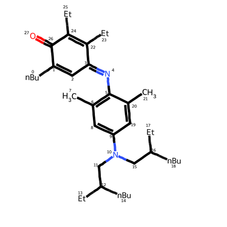 CCCCC1=CC(=Nc2c(C)cc(N(CC(CC)CCCC)CC(CC)CCCC)cc2C)C(CC)=C(CC)C1=O